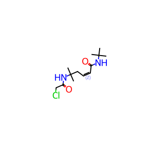 CC(C)(C)NC(=O)/C=C\CC(C)(C)NC(=O)CCl